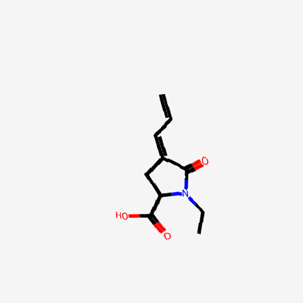 C=CC=C1CC(C(=O)O)N(CC)C1=O